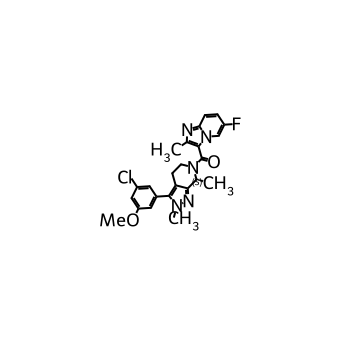 COc1cc(Cl)cc(-c2c3c(nn2C)[C@H](C)N(C(=O)c2c(C)nc4ccc(F)cn24)CC3)c1